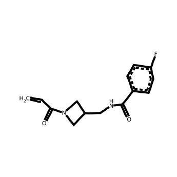 C=CC(=O)N1CC(CNC(=O)c2ccc(F)cc2)C1